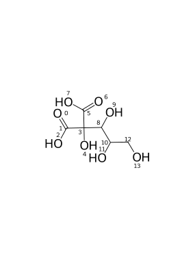 O=C(O)C(O)(C(=O)O)C(O)C(O)CO